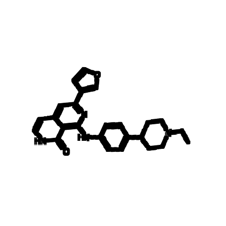 CCN1CCC(c2ccc(Nc3nc(-c4ccoc4)cc4cc[nH]c(=O)c34)cc2)CC1